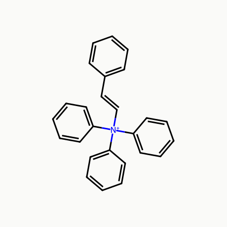 C(=C[N+](c1ccccc1)(c1ccccc1)c1ccccc1)c1ccccc1